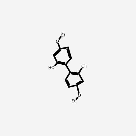 CCOc1ccc(-c2ccc(OCC)cc2O)c(O)c1